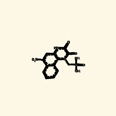 O=c1[nH]c2cc([N+](=O)[O-])c3ccccc3c2n(CP(=O)(O)O)c1=O